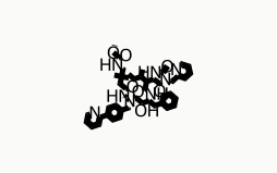 CCC(C)C(C(=O)NC(Cc1ccccc1)C(O)CN(Cc1ccc(-c2ccccn2)cc1)NC(=O)CC(C)(C)CNC(=O)OC)C1NC(=O)N(Cc2ccccn2)C1=O